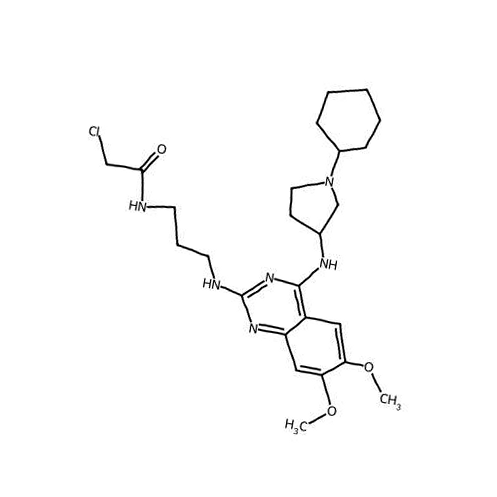 COc1cc2nc(NCCCNC(=O)CCl)nc(NC3CCN(C4CCCCC4)C3)c2cc1OC